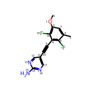 COc1cc(C)c(F)c(C#Cc2cnc(N)nc2)c1F